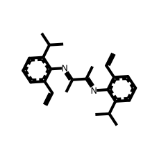 C=Cc1cccc(C(C)C)c1/N=C(C)/C(C)=N/c1c(C=C)cccc1C(C)C